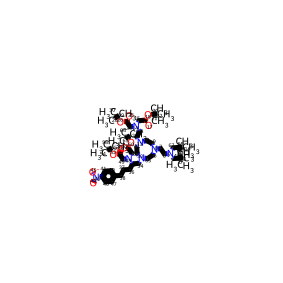 CC(C)(C)CN(CCN1CCN(CCN(CC(=O)OC(C)(C)C)CC(=O)OC(C)(C)C)CCN(CC(CCCc2ccc([N+](=O)[O-])cc2)N(CC(=O)OC(C)(C)C)CC(=O)OC(C)(C)C)CC1)CC(C)(C)C